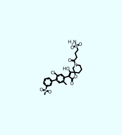 Cc1cc(-c2cccc(S(C)(=O)=O)c2)c(Cl)cc1C1=C(O)C2(CCCN(C(=O)CCCS(N)(=O)=O)C2)OC1=O